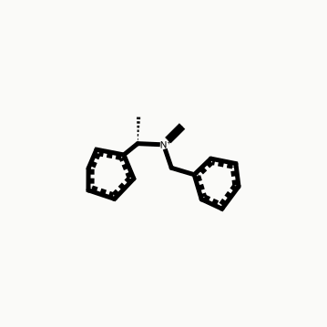 C=[N+](Cc1ccccc1)[C@@H](C)c1ccccc1